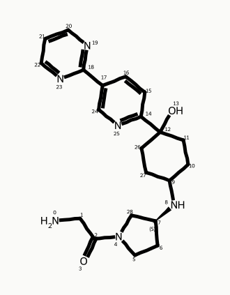 NCC(=O)N1CC[C@H](NC2CCC(O)(c3ccc(-c4ncccn4)cn3)CC2)C1